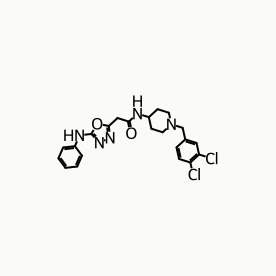 O=C(Cc1nnc(Nc2ccccc2)o1)NC1CCN(Cc2ccc(Cl)c(Cl)c2)CC1